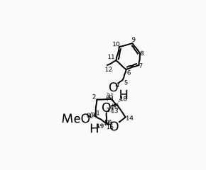 CO[C@@H]1C[C@H](OCc2ccccc2C)[C@H]2CO[C@@H]1O2